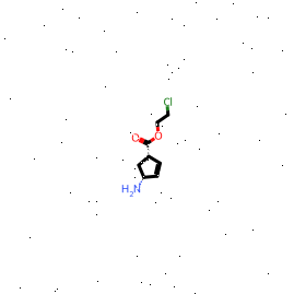 N[C@H]1C=C[C@@H](C(=O)OCCCl)C1